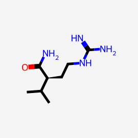 CC(C)[C@H](CCNC(=N)N)C(N)=O